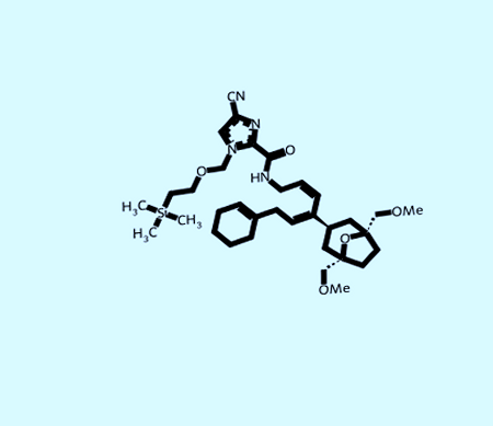 COC[C@@]12CC[C@@](COC)(C[C@@H](C(/C=C\CNC(=O)c3nc(C#N)cn3COCC[Si](C)(C)C)=C/CC3=CCCCC3)C1)O2